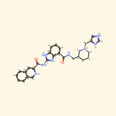 O=C(Nc1nc2c(C(=O)NCC3CCCN(Cc4c[nH]cn4)C3)cccc2[nH]1)c1cc2ccccc2cn1